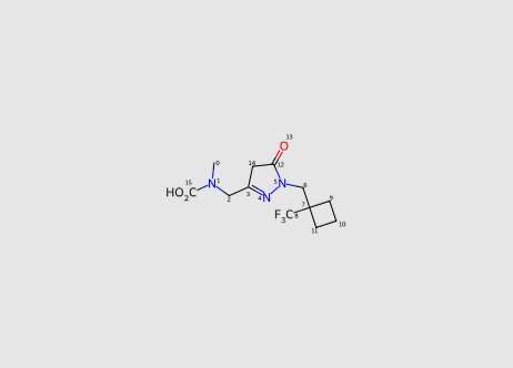 CN(CC1=NN(CC2(C(F)(F)F)CCC2)C(=O)C1)C(=O)O